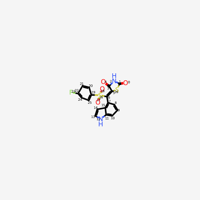 O=C1NC(=O)C(=C(c2cccc3[nH]ccc23)S(=O)(=O)c2ccc(F)cc2)S1